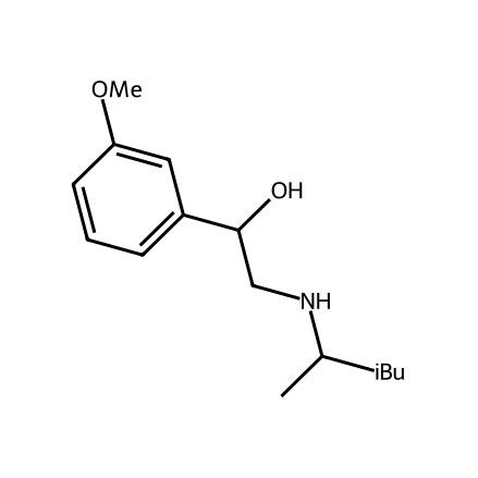 CCC(C)C(C)NCC(O)c1cccc(OC)c1